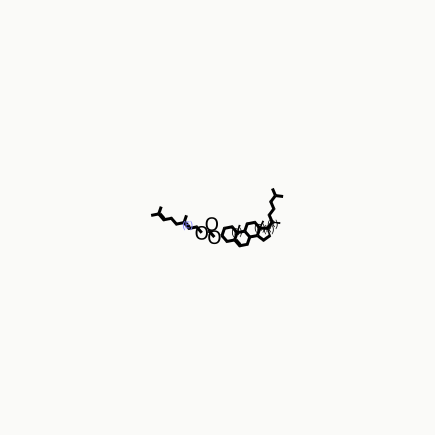 CC(C)=CCC/C(C)=C/COC(=O)OC1CC[C@@]2(C)C(=CCC3C2CC[C@@]2(C)C3CC[C@@H]2[C@H](C)CCCC(C)C)C1